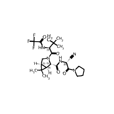 CC(C)(C)[C@H](NC(=O)C(F)(F)F)C(=O)N1C[C@H]2[C@@H]([C@H]1C(=O)N[C@H](C#N)C(=O)N1CCCC1)C2(C)C